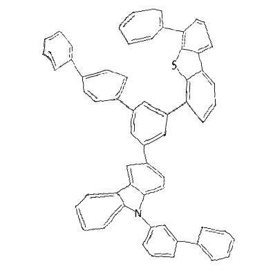 c1ccc(-c2ccc(-c3cc(-c4ccc5c(c4)c4ccccc4n5-c4cccc(-c5ccccc5)c4)cc(-c4cccc5c4sc4c(-c6ccccc6)cccc45)c3)cc2)cc1